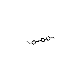 CCCCC1CC=C(c2ccc(C#Cc3ccc(OCCC)cc3)cc2)CC1